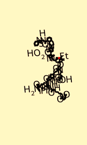 CCC1C2CC3(Cn4ncc(-c5ccc(N6CCc7cccc(C(=O)Nc8nc9ccccc9s8)c7C6)nc5C(=O)O)c4C)CC(OCCN(CCCP(=O)(O)O)C(=O)OCc4ccc(NC(=O)[C@H](CCCNC(N)=O)NC(=O)[C@@H](NC(=O)CCCCCN5C(=O)C=CC5=O)C(C)C)cc4)(C2)CC1(C)C3